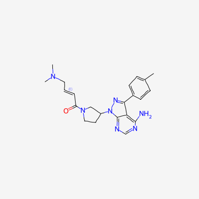 Cc1ccc(-c2nn(C3CCN(C(=O)/C=C/CN(C)C)C3)c3ncnc(N)c23)cc1